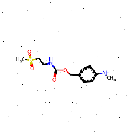 CNc1ccc(COC(=O)NCCS(C)(=O)=O)cc1